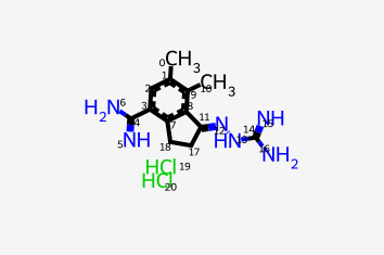 Cc1cc(C(=N)N)c2c(c1C)C(=NNC(=N)N)CC2.Cl.Cl